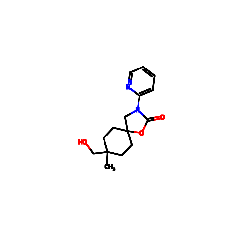 CC1(CO)CCC2(CC1)CN(c1ccccn1)C(=O)O2